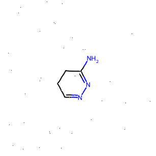 NC1=NN=CCC1